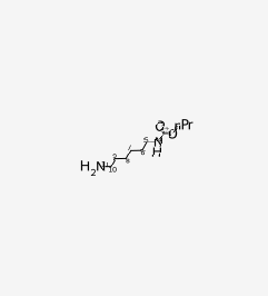 CCCOC(=O)NCCCCCCN